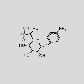 Nc1ccc(O[C@H]2O[C@H](C(O)P(=O)(O)O)[C@H](O)[C@H](O)[C@H]2O)cc1